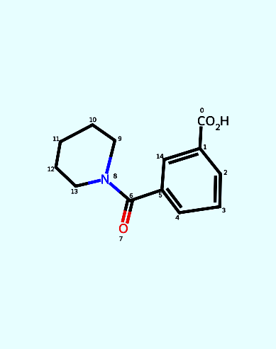 O=C(O)c1cccc(C(=O)N2CCCCC2)c1